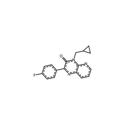 O=c1c(-c2ccc(F)cc2)nc2cccnc2n1CC1CC1